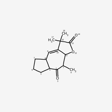 CC1C(=O)C2CCCC2C=C2C1OC(=O)C2(C)C